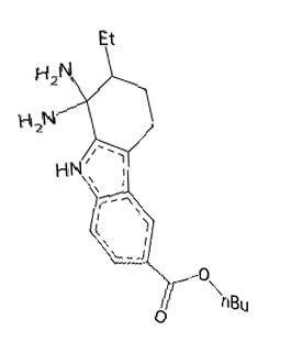 CCCCOC(=O)c1ccc2[nH]c3c(c2c1)CCC(CC)C3(N)N